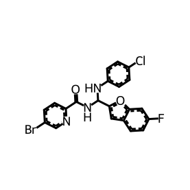 O=C(NC(Nc1ccc(Cl)cc1)c1cc2ccc(F)cc2o1)c1ccc(Br)cn1